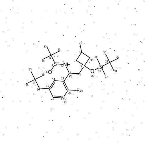 CC1CC(C[C@H](N[S+]([O-])C(C)(C)C)c2cc(CC(C)(C)C)cnc2F)(O[Si](C)(C)C(C)(C)C)C1